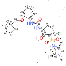 CN1C[C@@H]2C[C@H]1CN2S(=O)(=O)c1c(Cl)ccc(NC(=O)Nc2ccccc2OCc2ccccc2)c1O